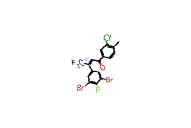 Cc1ccc(C(=O)/C=C(\c2cc(Br)c(F)c(Br)c2)C(F)(F)F)cc1Cl